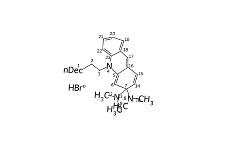 Br.CCCCCCCCCCCCN1C2=CC(N(C)C)(N(C)C)C=CC2=Cc2ccccc21